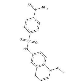 CON1C=CCc2cc(NS(=O)(=O)c3ccc(C(N)=O)cc3)ccc21